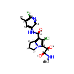 CCC(C)NC(=O)C(=O)c1c(Cl)c(C(=O)Nc2cnc(F)c(C)c2)c2n1CCC2